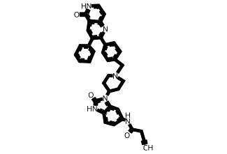 C#CCC(=O)Nc1ccc2[nH]c(=O)n(C3CCN(Cc4ccc(-c5nc6cc[nH]c(=O)c6cc5-c5ccccc5)cc4)CC3)c2c1